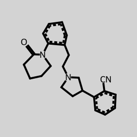 N#Cc1ccccc1C1CCN(CCc2ccccc2N2CCCCC2=O)C1